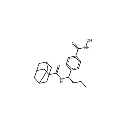 CCC[C@@H](NC(=O)C12CC3CC(CC(C3)C1)C2)c1ccc(C(=O)NO)cc1